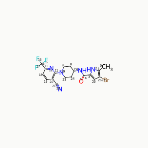 Cc1[nH]c(C(=O)NC2CCN(c3nc(C(F)(F)F)ccc3C#N)CC2)cc1Br